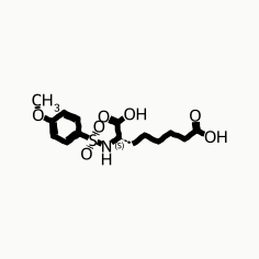 COc1ccc(S(=O)(=O)N[C@@H](CCCCCC(=O)O)C(=O)O)cc1